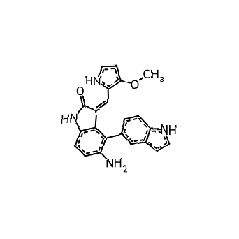 COc1cc[nH]c1C=C1C(=O)Nc2ccc(N)c(-c3ccc4[nH]ccc4c3)c21